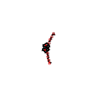 c1ccc2c(c1)-c1ccccc1C2(c1cccc2c(OCCOCCOCC3CO3)cccc12)c1cccc2c(OCCOCCOCC3CO3)cccc12